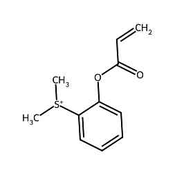 C=CC(=O)Oc1ccccc1[S+](C)C